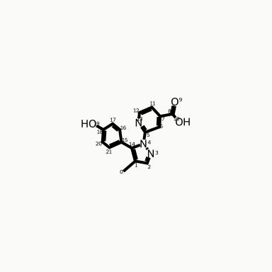 Cc1cnn(-c2cc(C(=O)O)ccn2)c1-c1ccc(O)cc1